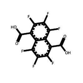 O=C(O)c1c(F)c(F)c(F)c2c(C(=O)O)c(F)c(F)c(F)c12